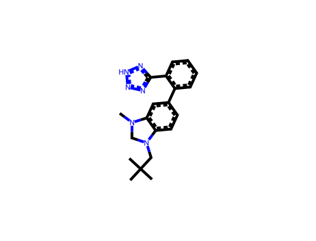 CN1CN(CC(C)(C)C)c2ccc(-c3ccccc3-c3nn[nH]n3)cc21